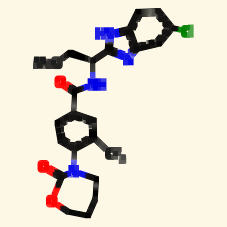 COC[C@H](NC(=O)c1ccc(N2CCCCOC2=O)c(C(F)(F)F)c1)c1nc2cc(Cl)ccc2[nH]1